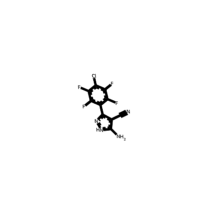 N#Cc1c(-c2c(F)c(F)c(Cl)c(F)c2F)n[nH]c1N